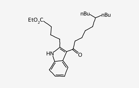 CCCCC(CCCC)CCCCC(=O)c1c(CCCC(=O)OCC)[nH]c2ccccc12